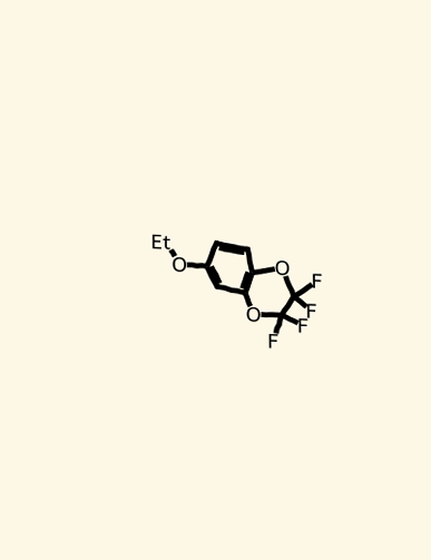 CCOc1ccc2c(c1)OC(F)(F)C(F)(F)O2